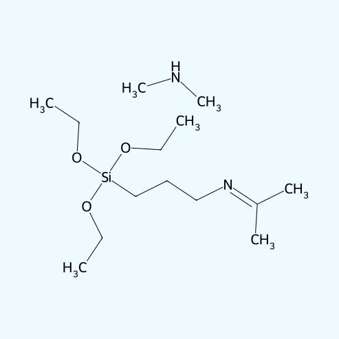 CCO[Si](CCCN=C(C)C)(OCC)OCC.CNC